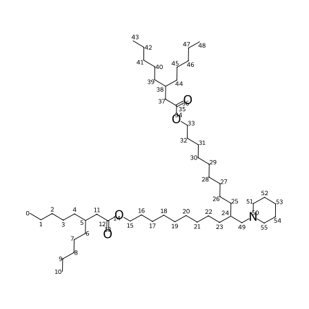 CCCCCC(CCCCC)CC(=O)OCCCCCCCCCC(CCCCCCCCCOC(=O)CC(CCCCC)CCCCC)CN1CCCCC1